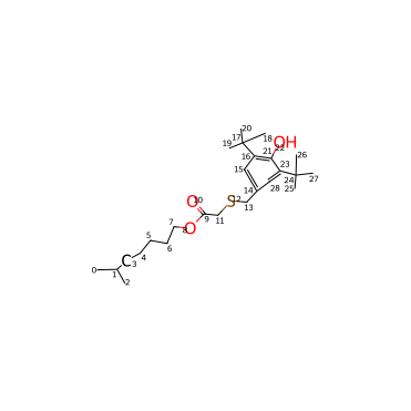 CC(C)CCCCCOC(=O)CSCc1cc(C(C)(C)C)c(O)c(C(C)(C)C)c1